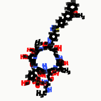 CNCCNC(=O)C[C@@H](O)[C@@H]1NC(=O)[C@H]([C@H](O)Cc2ccc(O)c(OS(=O)(=O)O)c2)NC(=O)[C@@H]2C[C@@H](O)CN2C(=O)[C@H]([C@@H](C)O)NC(=O)[C@@H](NC[C@H]2CC[C@H](c3nnc(-c4ccc(C5CCC(OC)(C6CCCCC6)CC5)cc4)s3)CC2)C[C@@H](O)CNC(=O)[C@@H]2[C@@H](O)[C@@H](C)CN2C1=O